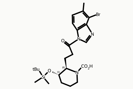 Cc1ccc2c(ncn2C(=O)CC[C@@H]2[C@@H](O[Si](C)(C)C(C)(C)C)CCCN2C(=O)O)c1Br